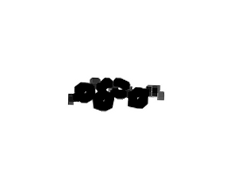 Fc1ccc(OC(CN2CCN(c3cccc(C(F)(F)F)c3)CC2)c2ccccc2)cc1